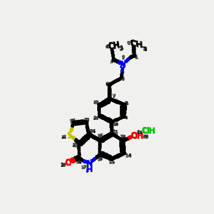 CCN(CC)CCc1ccc(-c2c(O)ccc3[nH]c(=O)c4sccc4c23)cc1.Cl